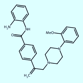 C=C(CN1CCN(c2ccccc2OC)CC1)c1ccc(C(=O)Nc2ccccc2N)cc1